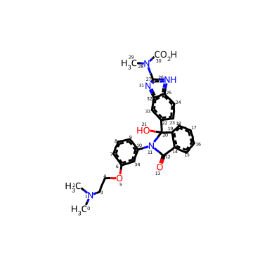 CN(C)CCOc1cccc(N2C(=O)c3ccccc3C2(O)c2ccc3[nH]c(N(C)C(=O)O)nc3c2)c1